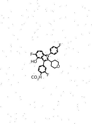 O=C(O)c1ccc(-c2c(C3CCOCC3)n(-c3ccc(F)cc3)c3ccc(F)c(O)c23)cc1F